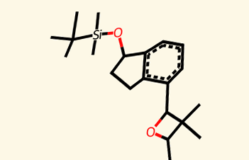 CC1OC(c2cccc3c2CCC3O[Si](C)(C)C(C)(C)C)C1(C)C